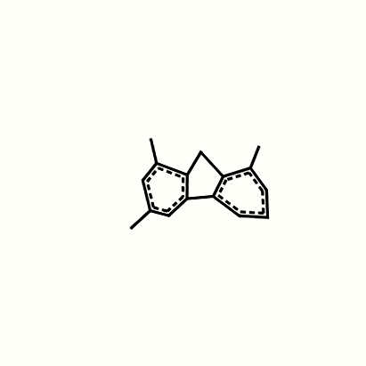 Cc1cc(C)c2c(c1)-c1cccc(C)c1C2